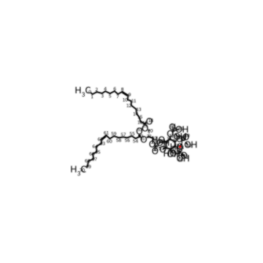 CCCCCCCC/C=C\CCCCCCCC(=O)OC[C@H](COP(=O)(O)OC1C(O)C(OP(=O)(O)O)C(OP(=O)(O)O)[C@@H](OP(=O)(O)O)C1O)OC(=O)CCCCCCC/C=C\CCCCCCCC